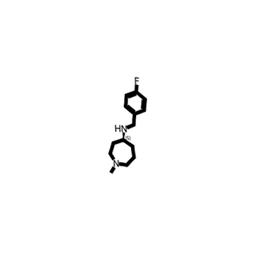 CN1CCC[C@H](NCc2ccc(F)cc2)CC1